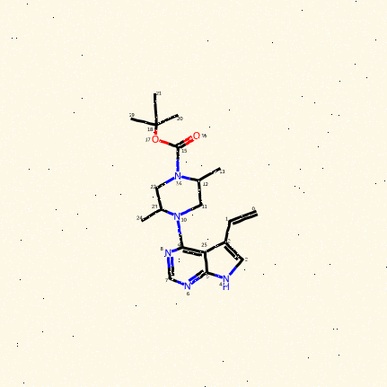 C=Cc1c[nH]c2ncnc(N3CC(C)N(C(=O)OC(C)(C)C)CC3C)c12